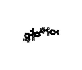 CC(C)c1c(-c2ccnc3[nH]ncc23)[nH]c2ccc(-c3nnc(C(=O)NC4CCN(C(C)C)CC4)s3)cc12